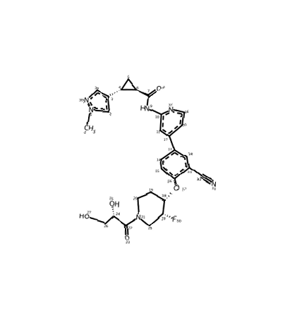 Cn1cc([C@@H]2C[C@H]2C(=O)Nc2cc(-c3ccc(O[C@H]4CCN(C(=O)[C@@H](O)CO)C[C@H]4F)c(C#N)c3)ccn2)cn1